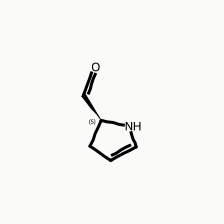 O=C[C@@H]1CC=CN1